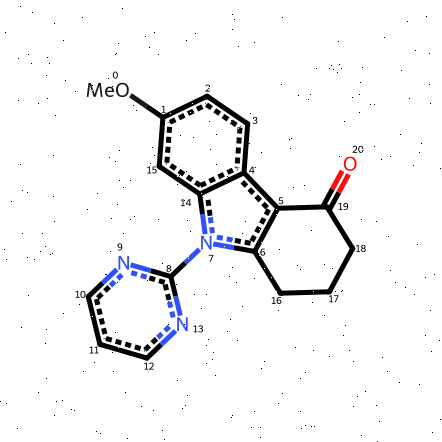 COc1ccc2c3c(n(-c4ncccn4)c2c1)CCCC3=O